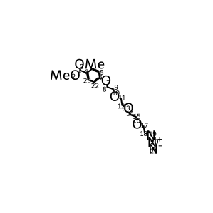 COC(OC)c1ccc(OCCOCCOCCOCCN=[N+]=[N-])cc1